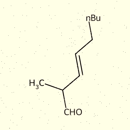 CCCCCC=CC(C)C=O